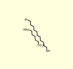 CC(C)CCCCCCCCCCCO.CCCCCCCCCCCCCCCC(=O)O